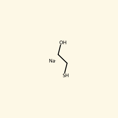 OCCS.[Na]